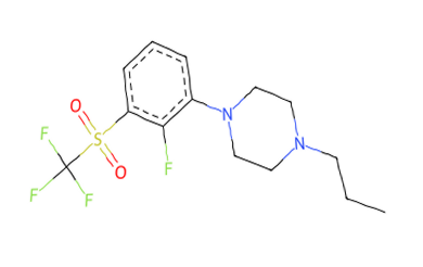 CCCN1CCN(c2cccc(S(=O)(=O)C(F)(F)F)c2F)CC1